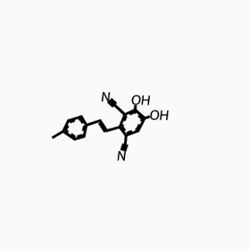 Cc1ccc(C=Cc2c(C#N)cc(O)c(O)c2C#N)cc1